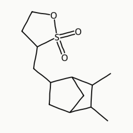 CC1C2CC(CC3CCOS3(=O)=O)C(C2)C1C